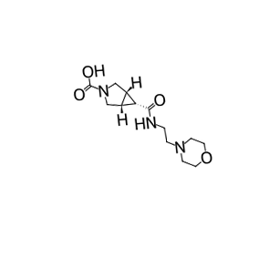 O=C(NCCN1CCOCC1)[C@@H]1[C@@H]2CN(C(=O)O)C[C@@H]21